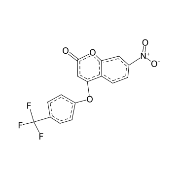 O=c1cc(Oc2ccc(C(F)(F)F)cc2)c2ccc([N+](=O)[O-])cc2o1